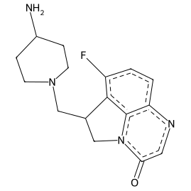 NC1CCN(CC2Cn3c(=O)cnc4ccc(F)c2c43)CC1